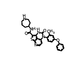 Cc1cc(Oc2ccccc2)ccc1N1C(=O)Nc2c(C(=O)NC3CCCNCC3)sc3nccc1c23